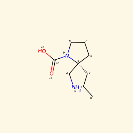 CCC[C@@]1(CN)CCCN1C(=O)O